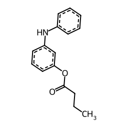 CCCC(=O)Oc1cccc(Nc2ccccc2)c1